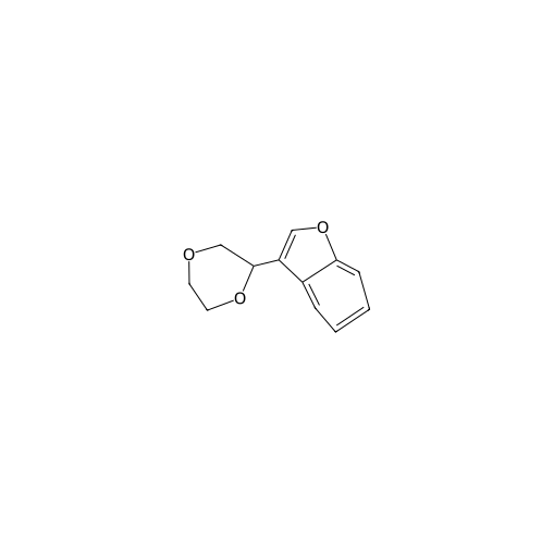 c1ccc2c(C3COCCO3)coc2c1